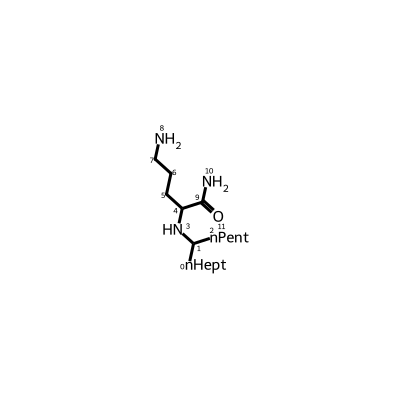 CCCCCCCC(CCCCC)NC(CCCN)C(N)=O